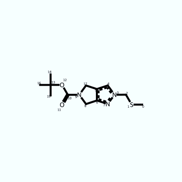 CSCn1cc2c(n1)CN(C(=O)OC(C)(C)C)C2